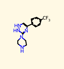 FC(F)(F)c1ccc(C2=CNNC(N3CCNCC3)=N2)cc1